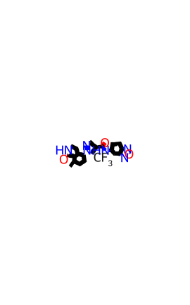 Cc1ccc(-n2ncc(C(=O)Nc3ccc4nonc4c3)c2C(F)(F)F)c2cc[nH]c(=O)c12